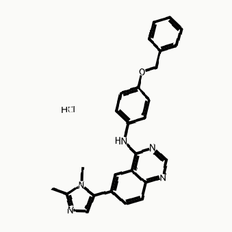 Cc1ncc(-c2ccc3ncnc(Nc4ccc(OCc5ccccc5)cc4)c3c2)n1C.Cl